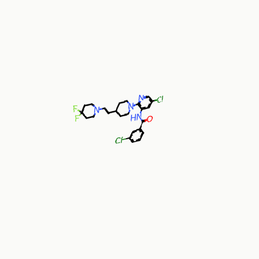 O=C(Nc1cc(Cl)cnc1N1CCC(CCN2CCC(F)(F)CC2)CC1)c1cccc(Cl)c1